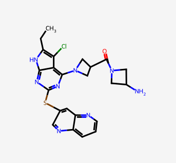 CCc1[nH]c2nc(Sc3cnc4cccnc4c3)nc(N3CC(C(=O)N4CC(N)C4)C3)c2c1Cl